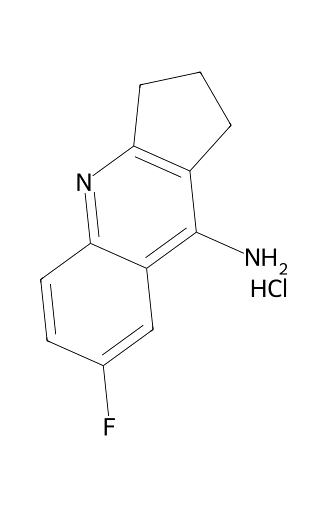 Cl.Nc1c2c(nc3ccc(F)cc13)CCC2